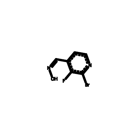 O/N=C\c1ccnc(Br)c1F